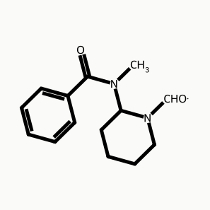 CN(C(=O)c1ccccc1)C1CCCCN1[C]=O